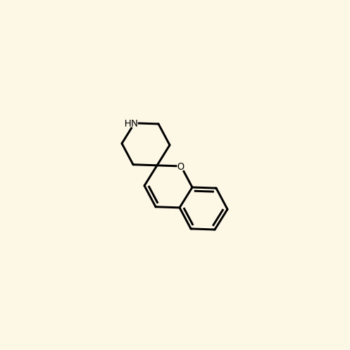 C1=CC2(CCNCC2)Oc2ccccc21